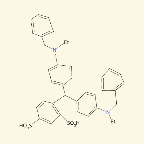 CCN(Cc1ccccc1)c1ccc(C(c2ccc(N(CC)Cc3ccccc3)cc2)c2ccc(S(=O)(=O)O)cc2S(=O)(=O)O)cc1